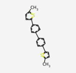 Cc1ccc(-c2ccc(-c3ccc(-c4ccc(C)s4)cc3)cc2)s1